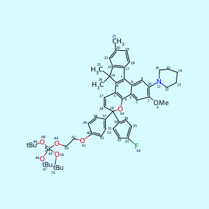 COc1cc2c3c(c4c(c2cc1N1CCCCC1)-c1ccc(C)cc1C4(C)C)C=CC(c1ccc(F)cc1)(c1ccc(OCCO[Si](OC(C)(C)C)(OC(C)(C)C)OC(C)(C)C)cc1)O3